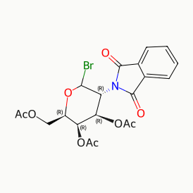 CC(=O)OC[C@H]1OC(Br)[C@H](N2C(=O)c3ccccc3C2=O)[C@@H](OC(C)=O)[C@H]1OC(C)=O